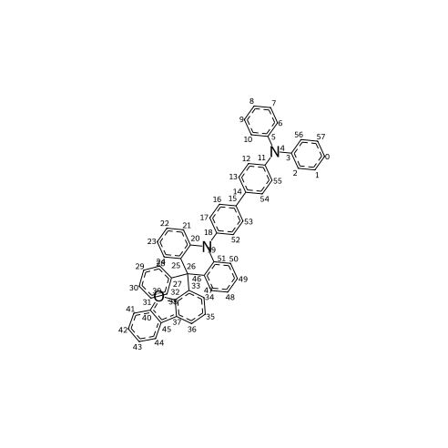 c1ccc(N(c2ccccc2)c2ccc(-c3ccc(N4c5ccccc5C(c5ccccc5)(c5cccc6c5oc5ccccc56)c5ccccc54)cc3)cc2)cc1